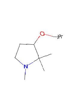 CC(C)OC1CCN(C)C1(C)C